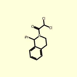 CC(C)C1c2ccccc2CCN1C(=O)C(Cl)Cl